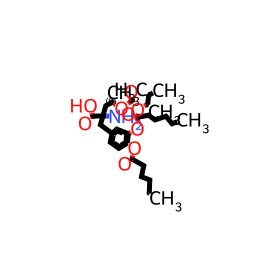 CCCCCC(=O)Oc1ccc(CC(N)(C[C@H](C)OC(=O)OC(C)C(C)C)C(=O)O)cc1OC(=O)CCCCC